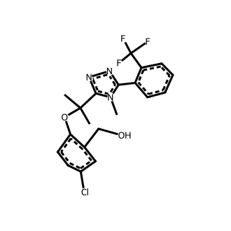 Cn1c(-c2ccccc2C(F)(F)F)nnc1C(C)(C)Oc1ccc(Cl)cc1CO